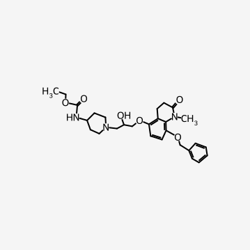 CCOC(=O)NC1CCN(CC(O)COc2ccc(OCc3ccccc3)c3c2CCC(=O)N3C)CC1